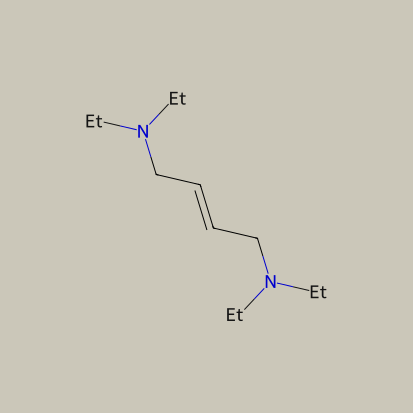 CCN(CC)C/C=C/CN(CC)CC